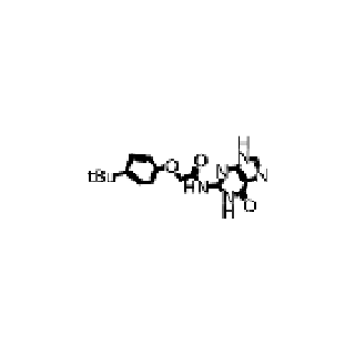 CC(C)(C)c1ccc(OCC(=O)Nc2nc3[nH]cnc3c(=O)[nH]2)cc1